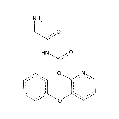 NCC(=O)NC(=O)Oc1ncccc1Oc1ccccc1